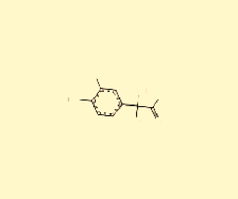 CC(C)(C(=O)O)c1ccc(O)c(O)c1